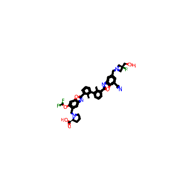 Cc1c(-c2nc3cc(CN4CCC[C@H]4C(=O)O)c(OC(F)F)cc3o2)cccc1-c1cccc(-c2nc3cc(CN4CC(F)(CO)C4)cc(C#N)c3o2)c1C